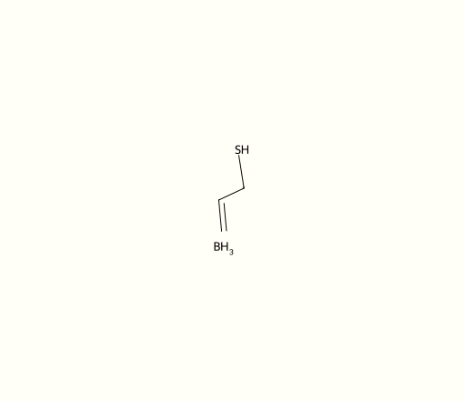 B.C=CCS